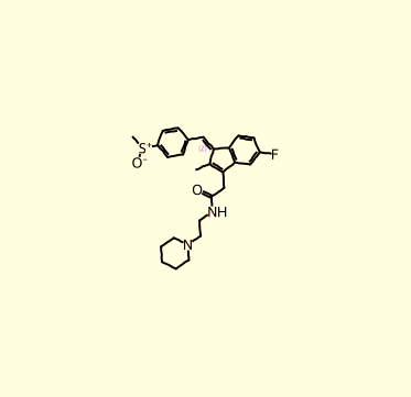 CC1=C(CC(=O)NCCN2CCCCC2)c2cc(F)ccc2/C1=C/c1ccc([S+](C)[O-])cc1